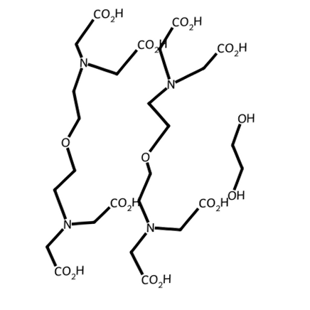 O=C(O)CN(CCOCCN(CC(=O)O)CC(=O)O)CC(=O)O.O=C(O)CN(CCOCCN(CC(=O)O)CC(=O)O)CC(=O)O.OCCO